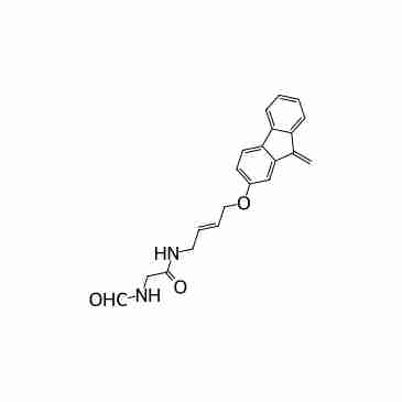 C=C1c2ccccc2-c2ccc(OC/C=C/CNC(=O)CNC=O)cc21